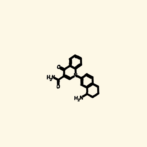 NC(=O)c1cn(-c2ccc3c(c2)C(N)CCC3)c2ccccc2c1=O